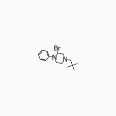 CC(C)(C)CN1CCN(c2ccccc2)C(Br)C1